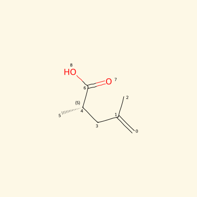 C=C(C)C[C@H](C)C(=O)O